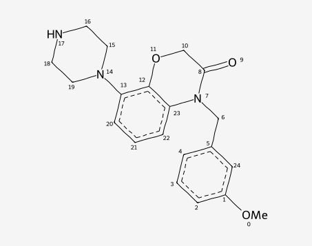 COc1cccc(CN2C(=O)COc3c(N4CCNCC4)cccc32)c1